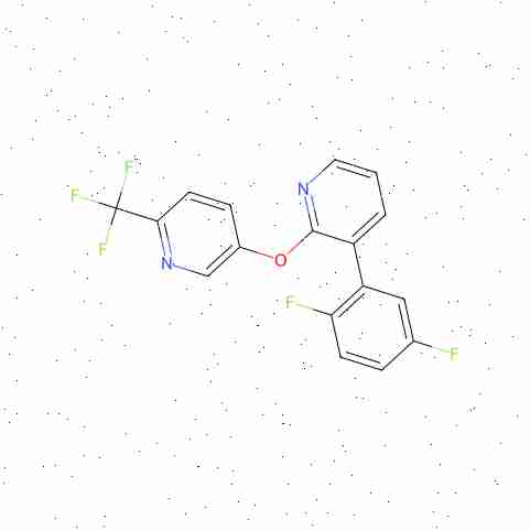 Fc1ccc(F)c(-c2cccnc2Oc2ccc(C(F)(F)F)nc2)c1